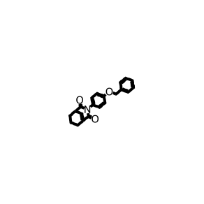 O=C1C2=CC(CCC2)C(=O)N1c1ccc(OCc2ccccc2)cc1